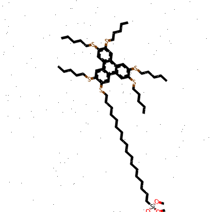 CCCCCSc1cc2c3cc(SCCCCC)c(SCCCCC)cc3c3cc(SCCCCCCCCCCCCCCCCCC[Si](OC)(OC)OC)c(SCCCCC)cc3c2cc1SCCCCC